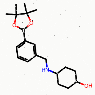 CC1(C)OB(c2cccc(CNC3CCC(O)CC3)c2)OC1(C)C